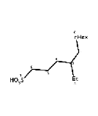 CCCCCCCC(CC)CCCS(=O)(=O)O